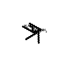 CCCCCCCCCCN(CC(N)=O)C(=O)CN(CCCCCCCCCC)C(=O)CN(CCCCCCCCCC)C(=O)CN(CCCCCCCCCC)C(=O)CNCCCN